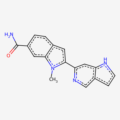 Cn1c(-c2cc3[nH]ccc3cn2)cc2ccc(C(N)=O)cc21